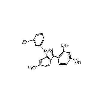 Oc1ccc(-c2nn(-c3cccc(Br)c3)c3cc(O)ccc23)c(O)c1